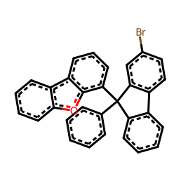 Brc1ccc2c(c1)C(c1ccccc1)(c1cccc3c1oc1ccccc13)c1ccccc1-2